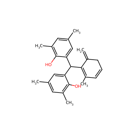 C=C1CC=CC(C)=C1C(c1cc(C)cc(C)c1O)c1cc(C)cc(C)c1O